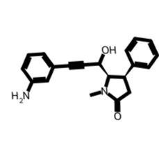 CN1C(=O)C[C@H](c2ccccc2)[C@@H]1C(O)C#Cc1cccc(N)c1